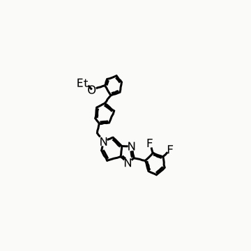 CCOc1ccccc1-c1ccc(Cn2ccc3nc(-c4cccc(F)c4F)nc-3c2)cc1